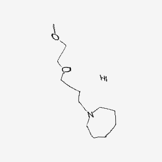 COCCOCCCN1CCCCCC1.I